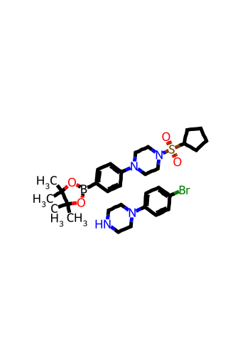 Brc1ccc(N2CCNCC2)cc1.CC1(C)OB(c2ccc(N3CCN(S(=O)(=O)C4CCCC4)CC3)cc2)OC1(C)C